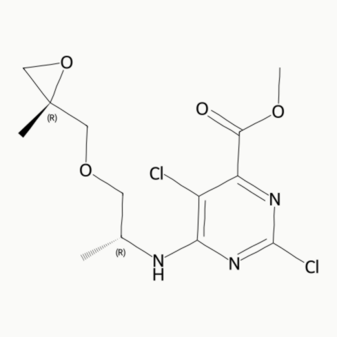 COC(=O)c1nc(Cl)nc(N[C@H](C)COC[C@]2(C)CO2)c1Cl